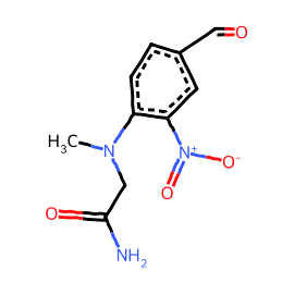 CN(CC(N)=O)c1ccc(C=O)cc1[N+](=O)[O-]